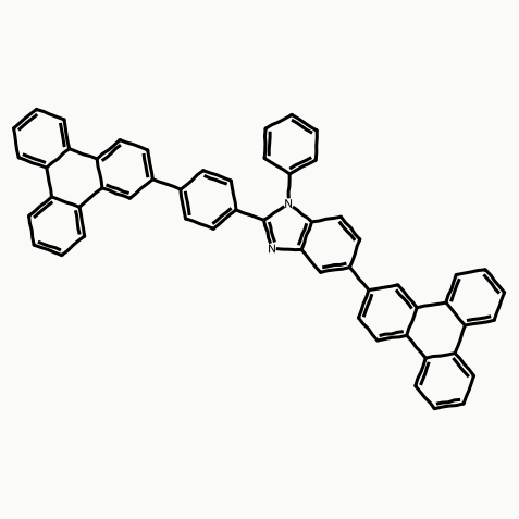 c1ccc(-n2c(-c3ccc(-c4ccc5c6ccccc6c6ccccc6c5c4)cc3)nc3cc(-c4ccc5c6ccccc6c6ccccc6c5c4)ccc32)cc1